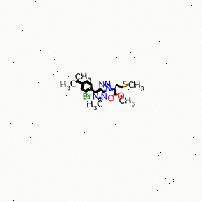 COC(=O)[C@H](CCSC)n1nnc2c(-c3ccc(C(C)C)cc3Br)nc(C)nc21